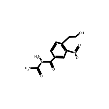 NC(=O)N(N)C(=O)c1ccc(CCO)c([N+](=O)[O-])c1